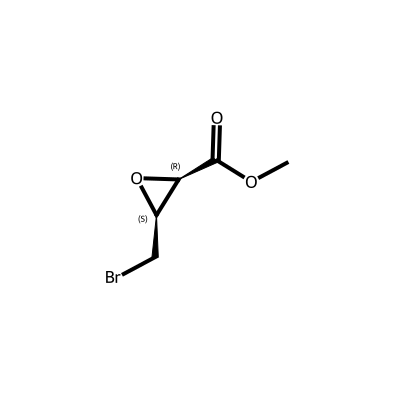 COC(=O)[C@@H]1O[C@@H]1CBr